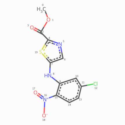 COC(=O)c1ncc(Nc2cc(Cl)ccc2[N+](=O)[O-])s1